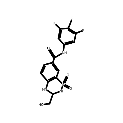 O=C(Nc1cc(F)c(F)c(F)c1)c1ccc2c(c1)S(=O)(=O)NC(CO)N2